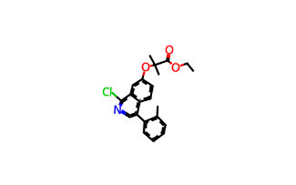 CCOC(=O)C(C)(C)Oc1ccc2c(-c3ccccc3C)cnc(Cl)c2c1